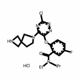 CCN(C(=O)c1cc(F)ccc1Oc1nnc(Cl)nc1N1CCC2(CNC2)C1)C(C)C.Cl